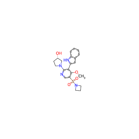 COc1c(S(=O)(=O)N2CCC2)cnc(N2CC[C@H](O)C2)c1-c1cc2ccccc2[nH]1